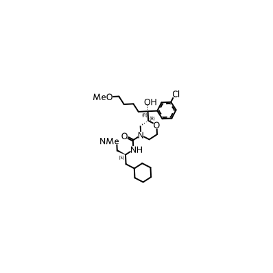 CNC[C@H](CC1CCCCC1)NC(=O)N1CCO[C@@H]([C@@](O)(CCCCOC)c2cccc(Cl)c2)C1